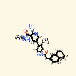 Cc1cc(NC(=O)Cc2ccc3ccccc3c2)ccc1-c1cnc(N)c(C(=O)NC(C)C)c1